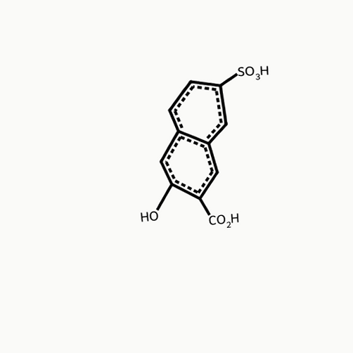 O=C(O)c1cc2cc(S(=O)(=O)O)ccc2cc1O